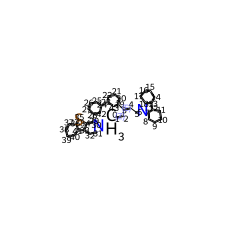 C/C=C\C(=C/Cn1c2ccccc2c2ccccc21)c1cccc(-c2cccc(-c3nccc4c3sc3ccccc34)c2)c1